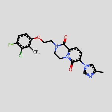 Cc1cn(-c2ccc3n(c2=O)CCN(CCOc2ccc(F)c(Cl)c2C(F)(F)F)C3=O)cn1